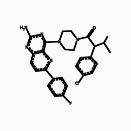 CC(C)C(C(=O)N1CCN(c2nc(N)nc3ccc(-c4ccc(F)cc4)nc23)CC1)c1ccc(Cl)cc1